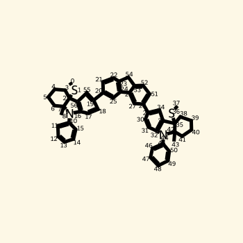 CSC12CCCCC1(C)N(c1ccccc1)c1ccc(-c3ccc4c(c3)-c3cc(-c5ccc6c(c5)C5(SC)CCCCC5(C)N6c5ccccc5)ccc3C4)cc12